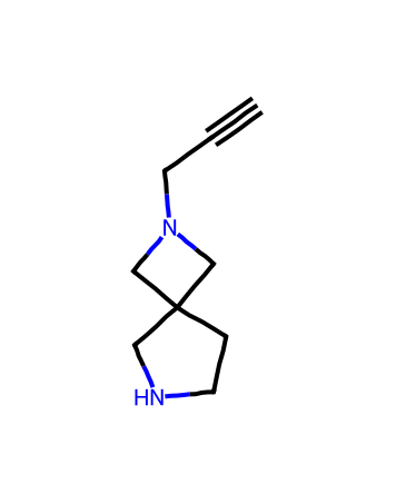 C#CCN1CC2(CCNC2)C1